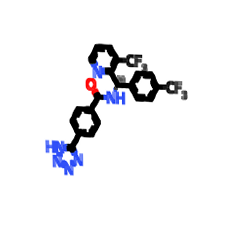 O=C(N[C@@H](c1ccc(C(F)(F)F)cc1)c1ncccc1C(F)(F)F)c1ccc(-c2nnn[nH]2)cc1